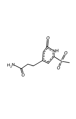 CS(=O)(=O)c1cc([CH]CC(N)=O)cc(=O)[nH]1